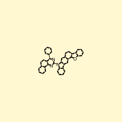 c1ccc(-c2nc(-n3c4ccccc4c4cc5c(ccc6c7ccccc7oc56)cc43)nc3c2ccc2ccccc23)cc1